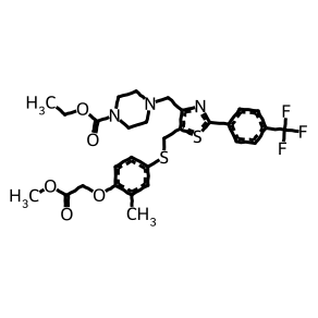 CCOC(=O)N1CCN(Cc2nc(-c3ccc(C(F)(F)F)cc3)sc2CSc2ccc(OCC(=O)OC)c(C)c2)CC1